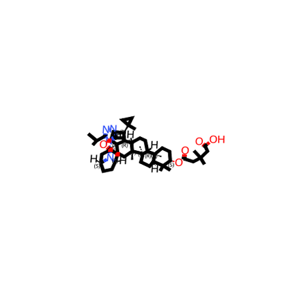 Cc1nnc(C(C)C)n1[C@@H]1C[C@H]2CC[C@@H](C1)N2C(=O)[C@]12CC[C@@H](C3(C)CC3)[C@@H]1[C@H]1CC[C@@H]3[C@@]4(C)CC[C@H](OC(=O)CC(C)(C)CC(=O)O)C(C)(C)[C@@H]4CC[C@@]3(C)[C@]1(C)CC2